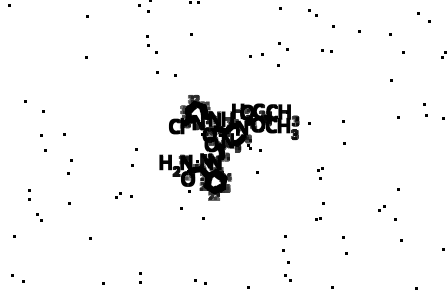 CC(C)(C)OC(=O)N1CCN(C(=O)Cn2nc(C(N)=O)c3ccccc32)C(C(=O)Nc2cccc(Cl)n2)C1